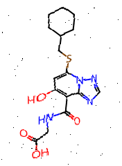 O=C(O)CNC(=O)c1c(O)cc(SCC2CCCCC2)n2ncnc12